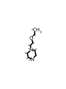 CCOCCN1CC[N]CC1